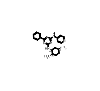 C[C@H]1CC[C@@H](C)[C@H](Nc2nc(Nc3ccncc3)nc(-c3ccccc3)n2)C1